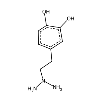 NN(N)CCc1ccc(O)c(O)c1